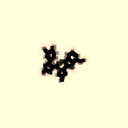 C=C1CC(c2nc3c(SC)cccc3[nH]2)N(C(=O)c2nc(C)sc2-c2ccc(C)c(C)c2)C1